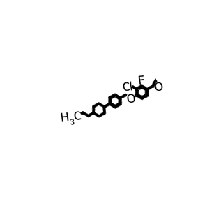 CCCC1CCC(c2ccc(COc3ccc(C4CO4)c(F)c3Cl)cc2)CC1